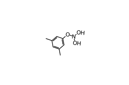 Cc1cc(C)cc(ON(O)O)c1